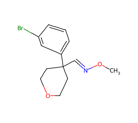 CO/N=C/C1(c2cccc(Br)c2)CCOCC1